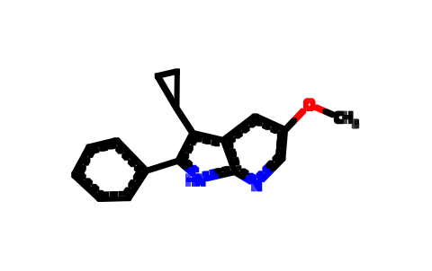 COc1cnc2[nH]c(-c3ccccc3)c(C3CC3)c2c1